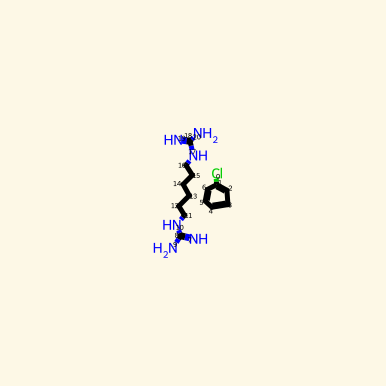 Clc1ccccc1.N=C(N)NCCCCCCNC(=N)N